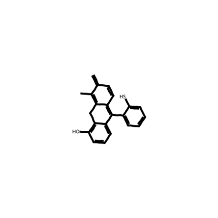 C=c1ccc2c(c1C)Cc1c(O)cccc1C=2c1ccccc1S